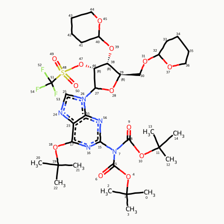 CC(C)(C)OC(=O)N(C(=O)OC(C)(C)C)c1nc(OC(C)(C)C)c2ncn(C3O[C@H](COC4CCCCO4)[C@@H](OC4CCCCO4)[C@H]3OS(=O)(=O)C(F)(F)F)c2n1